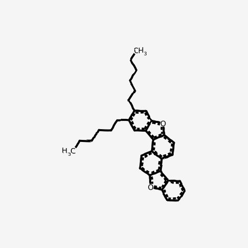 CCCCCCc1cc2oc3ccc4c(ccc5oc6ccccc6c54)c3c2cc1CCCCCC